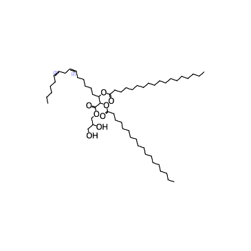 CCCCC/C=C\C/C=C\CCCCCC(OC(=O)CCCCCCCCCCCCCCCCC)C(OC(=O)CCCCCCCCCCCCCCCCC)C(=O)OCC(O)CO